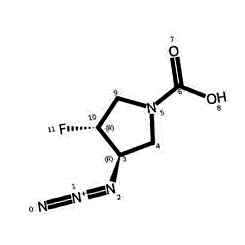 [N-]=[N+]=N[C@@H]1CN(C(=O)O)C[C@H]1F